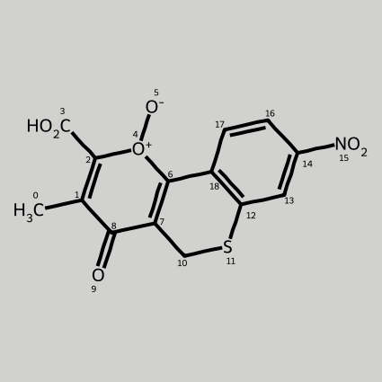 Cc1c(C(=O)O)[o+]([O-])c2c(c1=O)CSc1cc([N+](=O)[O-])ccc1-2